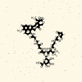 CC[C@]1(O)C(=O)OCc2c1cc1n(c2=O)Cc2c-1nc1cc(F)c(C)c3c1c2[C@H](NC(=O)COCNC(=O)CNC(=O)[C@H](CO[C@@H]1O[C@H](C(=O)O)[C@@H](O)[C@H](O)[C@H]1O)NC(=O)[C@@H](NC(=O)CCNC(=O)CN1C(=O)C=CC1=O)C(C)C)CC3